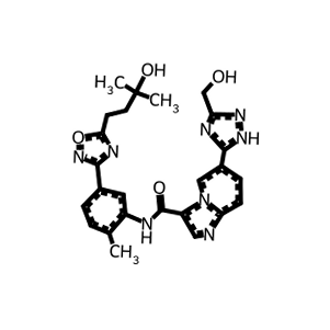 Cc1ccc(-c2noc(CCC(C)(C)O)n2)cc1NC(=O)c1cnc2ccc(-c3nc(CO)n[nH]3)cn12